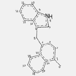 Cc1ccc(Cc2c[nH]c3ccccc23)c2ccccc12